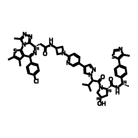 Cc1ncsc1-c1ccc([C@H](C)NC(=O)[C@@H]2C[C@@H](O)CN2C(=O)C(C(C)C)n2cc(-c3ccc(N4CC(NC(=O)C[C@@H]5N=C(c6ccc(Cl)cc6)c6c(sc(C)c6C)-n6c(C)nnc65)C4)nc3)cn2)cc1